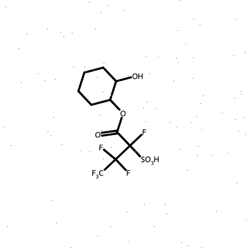 O=C(OC1CCCCC1O)C(F)(C(F)(F)C(F)(F)F)S(=O)(=O)O